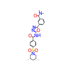 C[C@@H]1C[C@H](C)CN(S(=O)(=O)c2ccc(C(=O)Nc3nnc(-c4cccc(C(=O)N(C)C)c4)o3)cc2)C1